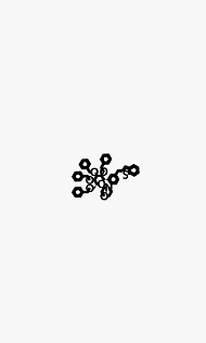 c1ccc(COC[C@H]2O[C@@H](c3cc(Cc4cc5ccccc5s4)ccc3N3CCOCC3)[C@H](OCc3ccccc3)[C@@H](OCc3ccccc3)[C@@H]2OCc2ccccc2)cc1